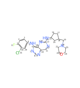 Fc1ccc(Nc2ncnc3cnc(NC4CCC(CN5CCOCC5)C4)nc23)cc1Cl